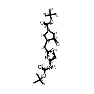 CC(C)(C)OC(=O)Nc1csc(CC2CN(C(=O)OC(C)(C)C)CC2=O)n1